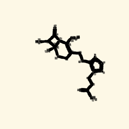 NC(=O)CCn1nnnc1SCC1=C(C(=O)O)N2C(=O)C(N)[C@H]2SC1